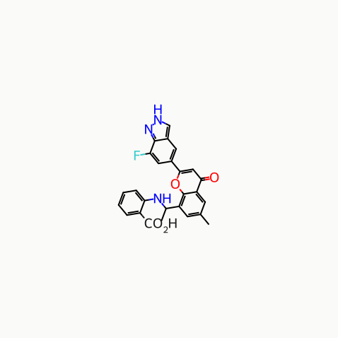 Cc1cc(C(C)Nc2ccccc2C(=O)O)c2oc(-c3cc(F)c4n[nH]cc4c3)cc(=O)c2c1